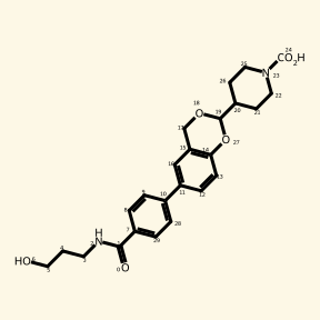 O=C(NCCCO)c1ccc(-c2ccc3c(c2)COC(C2CCN(C(=O)O)CC2)O3)cc1